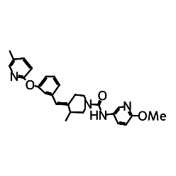 COc1ccc(NC(=O)N2CCC(=Cc3cccc(Oc4ccc(C)cn4)c3)C(C)C2)cn1